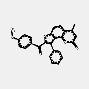 Cc1cc(=O)oc2c1ccc1oc(C(=O)c3ccc(OC(F)(F)F)cc3)c(-c3ccccc3)c12